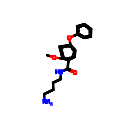 COc1cc(Oc2ccccc2)ccc1C(=O)NCCCCN